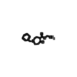 CCOC(=O)C1CCN(Cc2ccccc2)CCC1=O